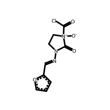 O=C(Cl)[N+]1([O-])CCN(N=Cc2ccco2)C1=O